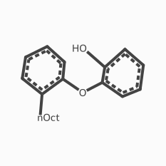 CCCCCCCCc1ccccc1Oc1ccccc1O